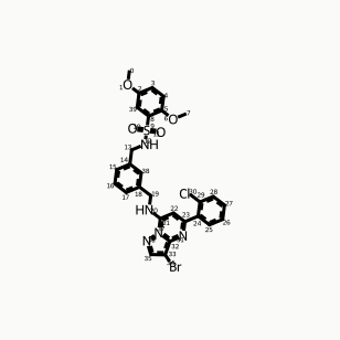 COc1ccc(OC)c(S(=O)(=O)NCc2cccc(CNc3cc(-c4ccccc4Cl)nc4c(Br)cnn34)c2)c1